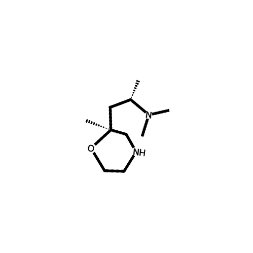 C[C@@H](C[C@@]1(C)CNCCO1)N(C)C